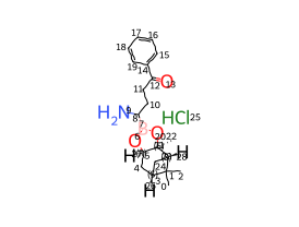 CC1(C)[C@@H]2C[C@H]3OB(C(N)CCC(=O)c4ccccc4)O[C@@]3(C)[C@H]1C2.Cl